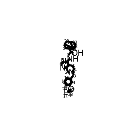 OC(CNc1ncnc2c1CCN(Cc1cccc(OC(F)(F)F)c1)C2)C12CC3CC(CC(C3)C1)C2